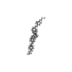 CCCCc1ccc(CCc2ccc3cc4c(cc3c2)sc2cc3cc(CCc5ccc(CCCC)cc5)ccc3cc24)cc1